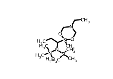 CCC(N([Si](C)(C)C)[Si](C)(C)C)[Si]1(C)OCN(CC)CO1